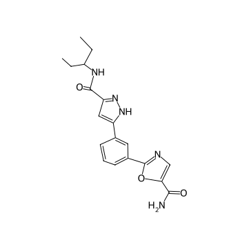 CCC(CC)NC(=O)c1cc(-c2cccc(-c3ncc(C(N)=O)o3)c2)[nH]n1